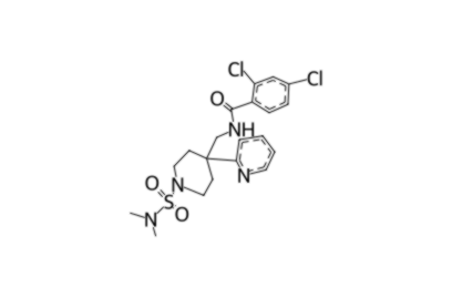 CN(C)S(=O)(=O)N1CCC(CNC(=O)c2ccc(Cl)cc2Cl)(c2ccccn2)CC1